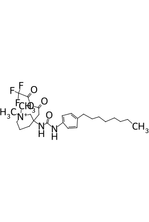 CCCCCCCCc1ccc(NC(=O)NC2(CC(=O)OC(=O)C(F)(F)F)CCC[N+](C)(C)C2)cc1